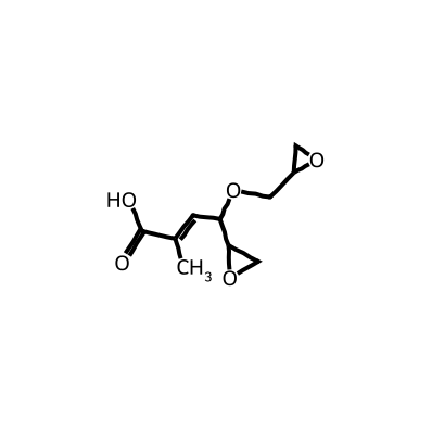 CC(=CC(OCC1CO1)C1CO1)C(=O)O